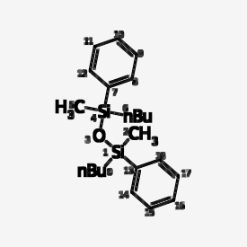 CCCC[Si](C)(O[Si](C)(CCCC)c1ccccc1)c1ccccc1